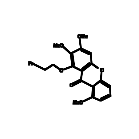 COc1cc(C)c(C(=O)c2c(Cl)cccc2OC)c(OCCC(C)C)c1OC